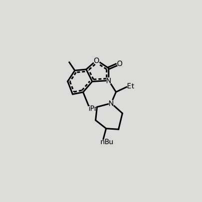 CCCCC1CCN(C(CC)n2c(=O)oc3c(C)ccc(C(C)C)c32)CC1